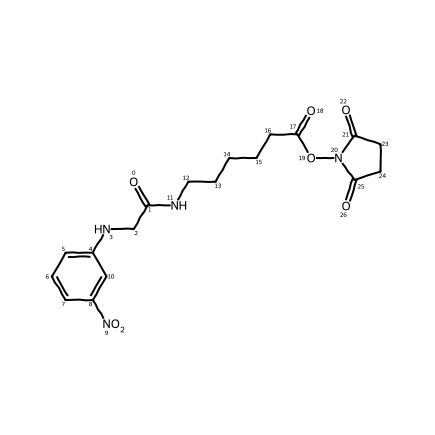 O=C(CNc1cccc([N+](=O)[O-])c1)NCCCCCC(=O)ON1C(=O)CCC1=O